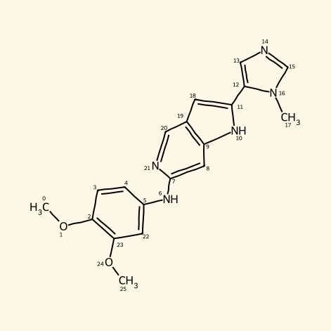 COc1ccc(Nc2cc3[nH]c(-c4cncn4C)cc3cn2)cc1OC